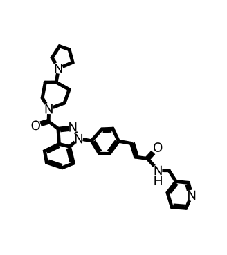 O=C(C=Cc1ccc(-n2nc(C(=O)N3CCC(N4CCCC4)CC3)c3ccccc32)cc1)NCc1cccnc1